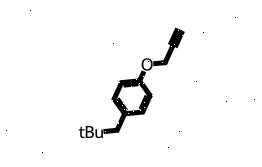 C#CCOc1ccc(CC(C)(C)C)cc1